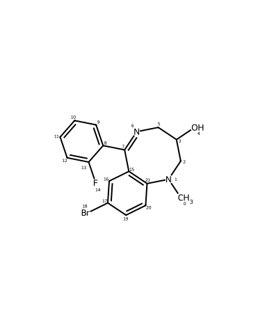 CN1CC(O)CN=C(c2ccccc2F)c2cc(Br)ccc21